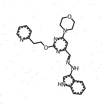 C(=N\Nc1c[nH]c2ccccc12)/c1cc(N2CCOCC2)nc(OCCc2ccccn2)n1